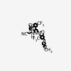 CN1CC2(CCN(Cc3cc4c(c(C(F)(F)F)c3)CN(c3cc(-c5cc(C(F)(F)F)ccc5-c5nncn5C)cc(NCCCC#N)n3)COC4)C2)C1